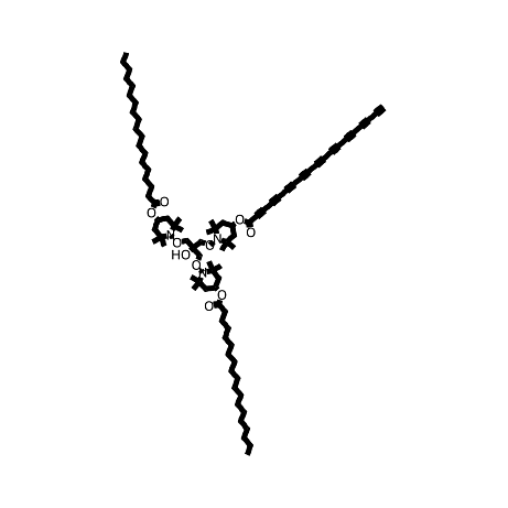 C#CC#CC#CC#CC#CC#CC#CC#CC#CC(=O)OC1CC(C)(C)N(OCC(O)(CON2C(C)(C)CC(OC(=O)CCCCCCCCCCCCCCCCCC)CC2(C)C)CON2C(C)(C)CC(OC(=O)CCCCCCCCCCCCCCCCCC)CC2(C)C)C(C)(C)C1